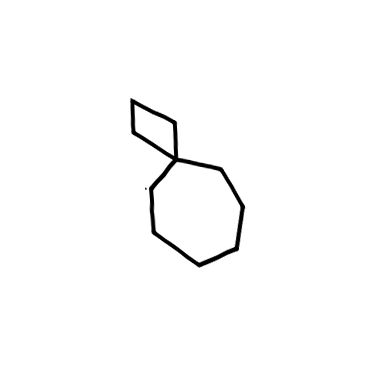 [CH]1CCCCCC12CCC2